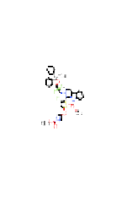 C[C@@H]1Cc2c(n(C(=O)OC(C)(C)C)c3ccccc23)[C@@H](c2sc(OC3CN(C(=O)OC(C)(C)C)C3)cc2F)N1CC(F)(F)CO[Si](c1ccccc1)(c1ccccc1)C(C)(C)C